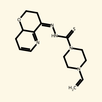 C=CN1CCN(C(=S)N/N=C2/CCOC3CC=CN=C23)CC1